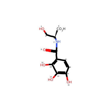 O=C(N[C@@H](CO)C(=O)O)c1ccc(O)c(O)c1O